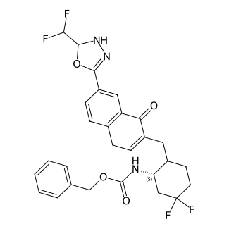 O=C(N[C@H]1CC(F)(F)CCC1CC1=CCc2ccc(C3=NNC(C(F)F)O3)cc2C1=O)OCc1ccccc1